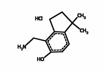 CC1(C)CCc2c1ccc(O)c2CN.Cl